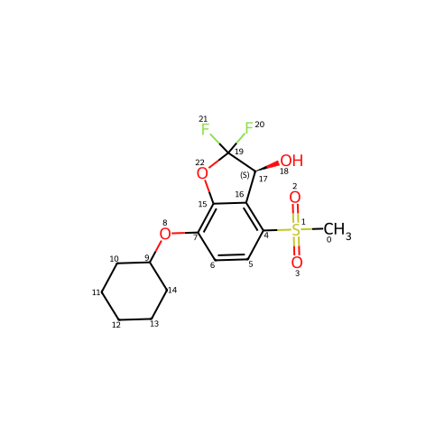 CS(=O)(=O)c1ccc(OC2CCCCC2)c2c1[C@H](O)C(F)(F)O2